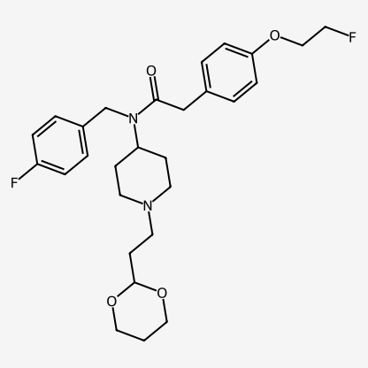 O=C(Cc1ccc(OCCF)cc1)N(Cc1ccc(F)cc1)C1CCN(CCC2OCCCO2)CC1